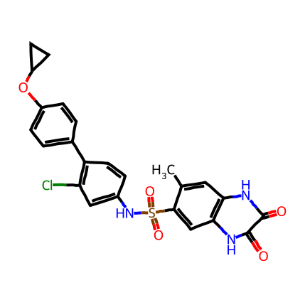 Cc1cc2[nH]c(=O)c(=O)[nH]c2cc1S(=O)(=O)Nc1ccc(-c2ccc(OC3CC3)cc2)c(Cl)c1